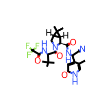 Cc1c[nH]c(=O)cc1C(C#N)NC(=O)[C@@H]1[C@@H]2[C@H](CN1C(=O)C(NC(=O)C(F)(F)F)C(C)(C)C)C2(C)C